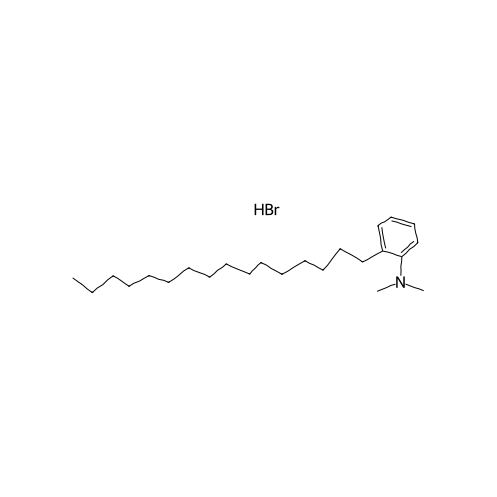 Br.CCCCCCCCCCCCCCCCc1ccccc1N(C)C